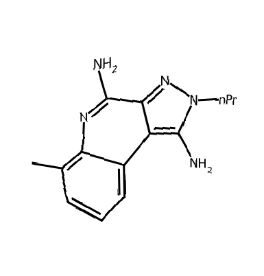 CCCn1nc2c(N)nc3c(C)cccc3c2c1N